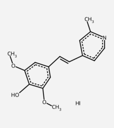 COc1cc(C=Cc2ccnc(C)c2)cc(OC)c1O.I